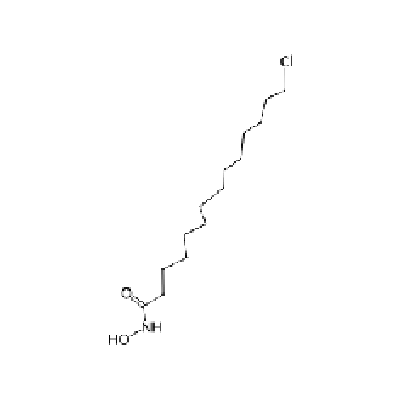 O=C(CCCCCCCCCCCCCCl)NO